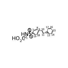 O=C(O)CNS(=O)(=O)c1ccc(C=Cc2ccccc2)cc1